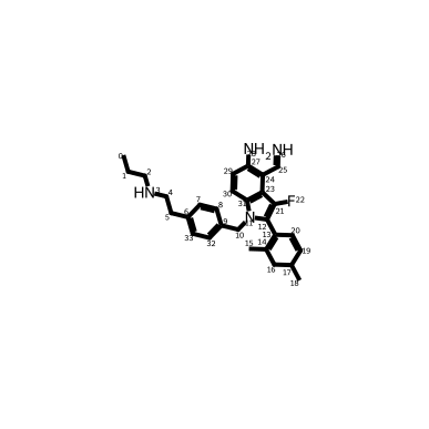 CCCNCCc1ccc(Cn2c(C3=C(C)CC(C)C=C3)c(F)c3c(C=N)c(N)ccc32)cc1